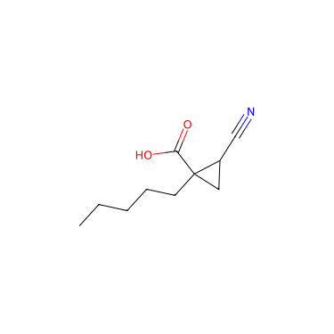 CCCCCC1(C(=O)O)CC1C#N